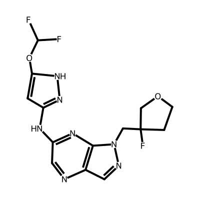 FC(F)Oc1cc(Nc2cnc3cnn(CC4(F)CCOC4)c3n2)n[nH]1